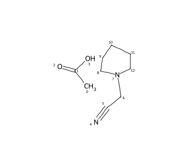 CC(=O)O.N#CCN1CCCCC1